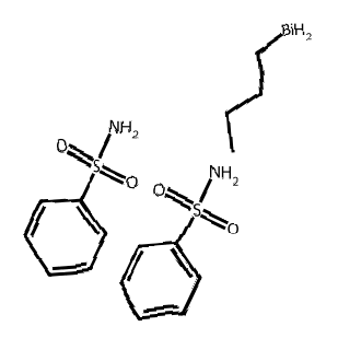 CCC[CH2][BiH2].NS(=O)(=O)c1ccccc1.NS(=O)(=O)c1ccccc1